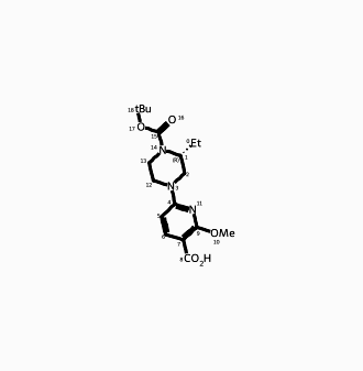 CC[C@@H]1CN(c2ccc(C(=O)O)c(OC)n2)CCN1C(=O)OC(C)(C)C